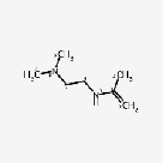 C=C(C)NCCN(C)C